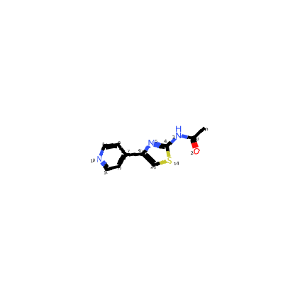 CC(=O)Nc1nc(-c2ccncc2)cs1